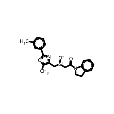 Cc1cccc(-c2nc(C[S+]([O-])CC(=O)N3CCc4ccccc43)c(C)o2)c1